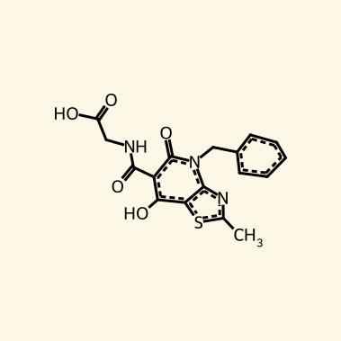 Cc1nc2c(s1)c(O)c(C(=O)NCC(=O)O)c(=O)n2Cc1ccccc1